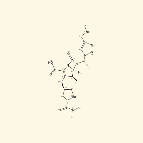 CNCc1cn([C@H](C)[C@H]2C(=O)N3C(C(=O)O)=C(S[C@H]4CN[C@H](C(=O)N(C)C)C4)[C@H](C)[C@H]23)nn1